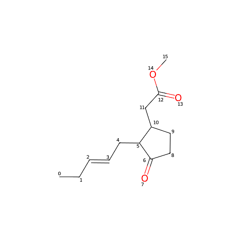 CCC=CCC1C(=O)CCC1CC(=O)OC